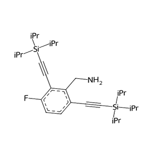 CC(C)[Si](C#Cc1ccc(F)c(C#C[Si](C(C)C)(C(C)C)C(C)C)c1CN)(C(C)C)C(C)C